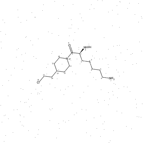 CC(=O)N[C@@H](CSCCCN)C(=O)N1CCC(CCCl)CC1